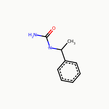 CC([N]C(N)=O)c1ccccc1